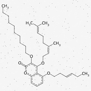 CCC=CCCOc1cccc2oc(=O)c(OCCCCCCCCCC)c(OCC=C(C)CCC=C(C)C)c12